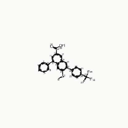 CSc1cc2c(-c3ccccc3)cc(C(=O)O)cc2cc1-c1ccc(C(F)(F)F)cc1